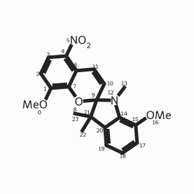 COc1ccc([N+](=O)[O-])c2c1OC1(C=C2)N(C)c2c(OC)cccc2C1(C)C